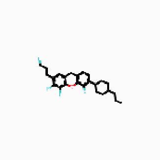 CCCC1CCC(c2ccc3c(c2F)Oc2c(cc(CCCF)c(F)c2F)C3)CC1